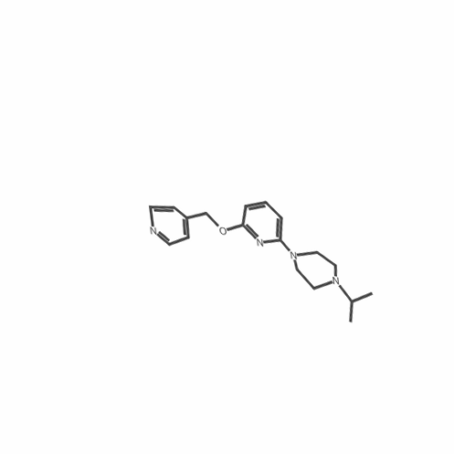 CC(C)N1CCN(c2cccc(OCc3ccncc3)n2)CC1